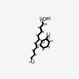 [Li][CH2]CCCCCCCCCCCCCCCCCCC.[Li][CH]1CCCCC1